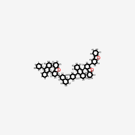 c1ccc(-c2c3ccccc3c(-c3ccc(-c4ccc5c(-c6ccc(-c7c8ccccc8c(-c8ccc(-c9ccc%10oc%11ccccc%11c%10c9)c9oc%10ccccc%10c89)c8ccccc78)cc6)cccc5c4)c4oc5ccccc5c34)c3ccccc23)cc1